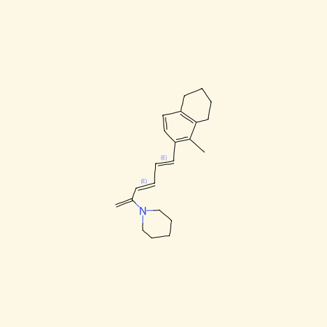 C=C(/C=C/C=C/c1ccc2c(c1C)CCCC2)N1CCCCC1